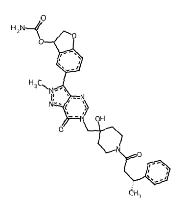 C[C@H](CC(=O)N1CCC(O)(Cn2cnc3c(-c4ccc5c(c4)C(OC(N)=O)CO5)n(C)nc3c2=O)CC1)c1ccccc1